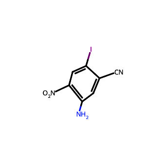 N#Cc1cc(N)c([N+](=O)[O-])cc1I